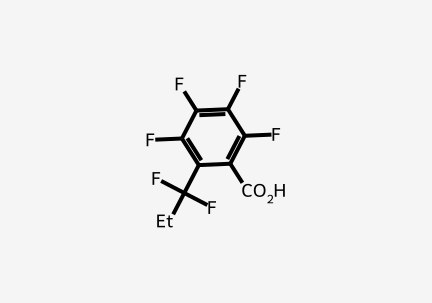 CCC(F)(F)c1c(F)c(F)c(F)c(F)c1C(=O)O